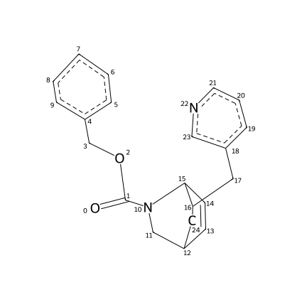 O=C(OCc1ccccc1)N1CC2C=CC1C(Cc1cccnc1)C2